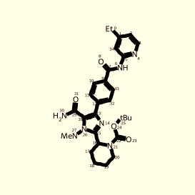 CCc1ccnc(NC(=O)c2ccc(-c3nc(C4CCCCN4C(=O)OC(C)(C)C)n(NC)c3C(N)=O)cc2)c1